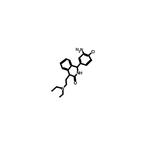 CCN(CC)CCC1C(=O)NC(c2ccc(Cl)c(N)c2)c2ccccc21